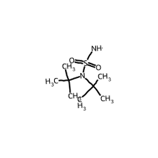 CC(C)(C)N(C(C)(C)C)S([NH])(=O)=O